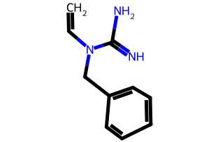 C=CN(Cc1ccccc1)C(=N)N